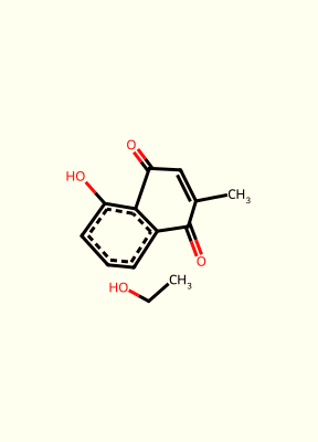 CC1=CC(=O)c2c(O)cccc2C1=O.CCO